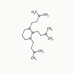 CN(C)CCN1CCCN(CCN(C)C)N1CCN(C)C